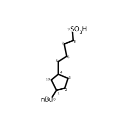 CCCCC1CCC(CCCCS(=O)(=O)O)C1